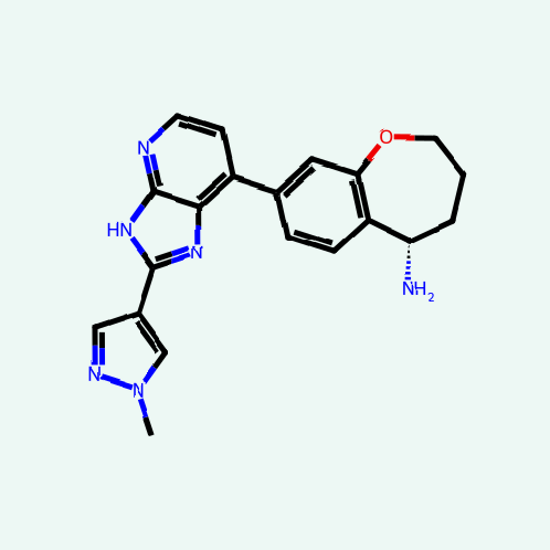 Cn1cc(-c2nc3c(-c4ccc5c(c4)OCCC[C@@H]5N)ccnc3[nH]2)cn1